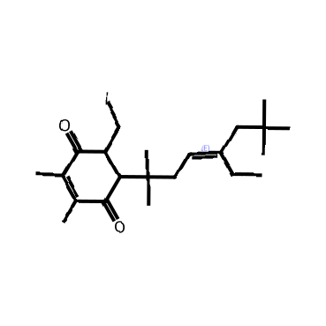 CC/C(=C\CC(C)(C)C1C(=O)C(C)=C(C)C(=O)C1CI)CC(C)(C)C